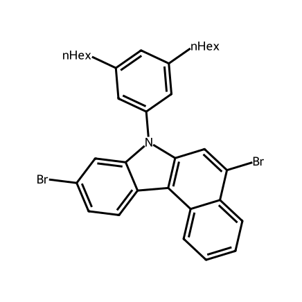 CCCCCCc1cc(CCCCCC)cc(-n2c3cc(Br)ccc3c3c4ccccc4c(Br)cc32)c1